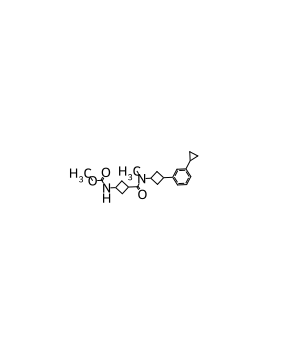 COC(=O)NC1CC(C(=O)N(C)C2CC(c3cccc(C4CC4)c3)C2)C1